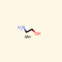 NCCO.[Mn]